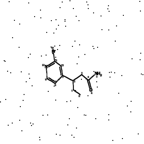 CCC(CC(N)=O)c1ccnc(Br)c1